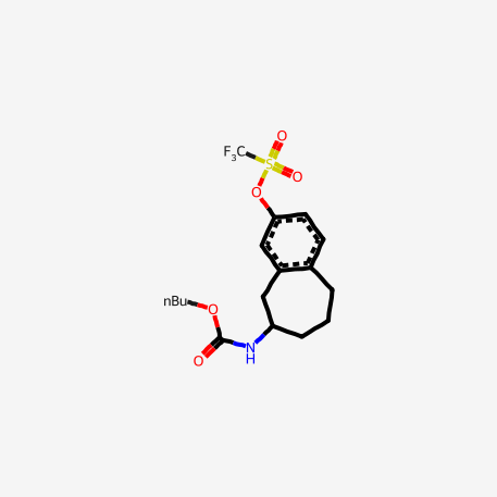 CCCCOC(=O)NC1CCCc2ccc(OS(=O)(=O)C(F)(F)F)cc2C1